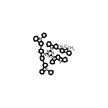 CC1(C)c2ccccc2-c2ccc(-c3ccc4c5ccccc5n(-c5nc(-n6c7cc(-c8ccc9c(c8)c8ccccc8n9-c8ccccc8)ccc7c7ccc(-c8ccc9c(c8)c8ccccc8n9-c8ccccc8)cc76)nc(-n6c7ccccc7c7c8sc9ccccc9c8ccc76)n5)c4c3)cc21